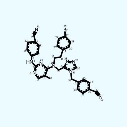 Cc1cnc(Nc2ccc(C#N)cc2)nc1N(CCc1ccc(Br)cc1)Cc1nncn1Cc1ccc(C#N)cc1